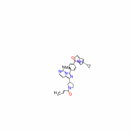 CC=CC(=O)N1CCC(c2nc(-c3ccc(C(=O)NC4=C\CC/C=C/C(C5CC5)=C\4)cc3)n3c(NC)nccc23)C1